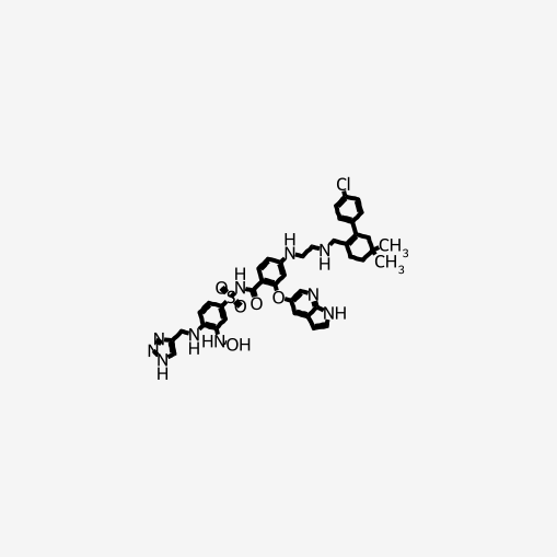 CC1(C)CCC(CNCCNc2ccc(C(=O)NS(=O)(=O)c3ccc(NCc4c[nH]nn4)c(NO)c3)c(Oc3cnc4[nH]ccc4c3)c2)=C(c2ccc(Cl)cc2)C1